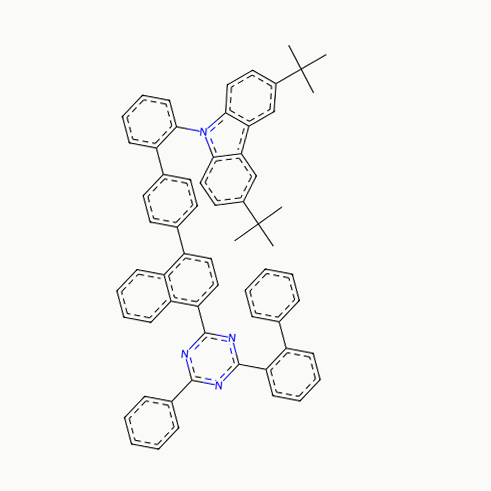 CC(C)(C)c1ccc2c(c1)c1cc(C(C)(C)C)ccc1n2-c1ccccc1-c1ccc(-c2ccc(-c3nc(-c4ccccc4)nc(-c4ccccc4-c4ccccc4)n3)c3ccccc23)cc1